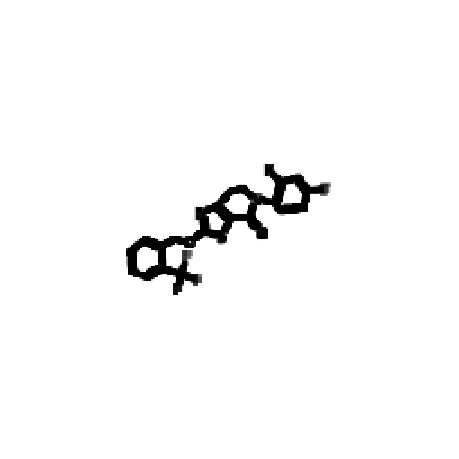 O=C1c2sc(OCc3ccccc3C(F)(F)F)nc2CCN1c1ccc(F)cc1F